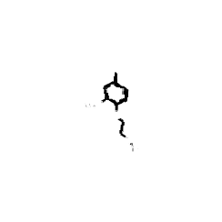 COc1cc(C)ccc1OCCOC(C)C